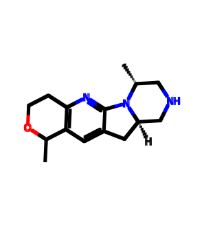 CC1OCCc2nc3c(cc21)C[C@@H]1CNC[C@@H](C)N31